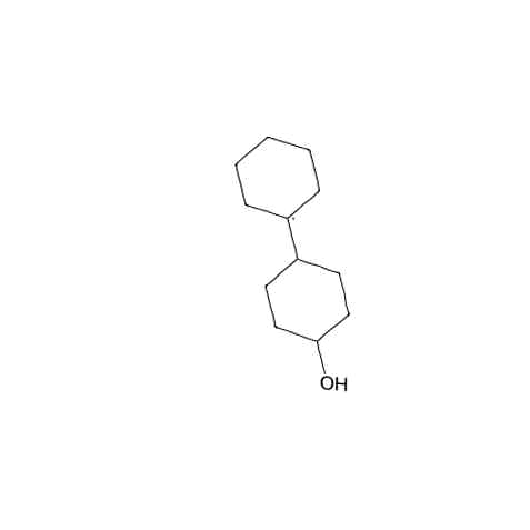 OC1CCC([C]2CCCCC2)CC1